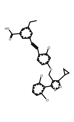 CCc1cc(C#Cc2ccc(OCc3c(-c4c(Cl)cccc4Cl)noc3C3CC3)cc2Cl)cc(C(=O)O)c1